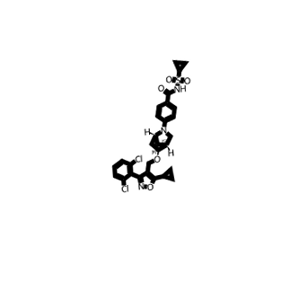 O=C(NS(=O)(=O)C1CC1)c1ccc(N2C[C@@H]3C[C@H]2C[C@H]3OCc2c(-c3c(Cl)cccc3Cl)noc2C2CC2)cc1